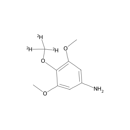 [2H]C([2H])([2H])Oc1c(OC)cc(N)cc1OC